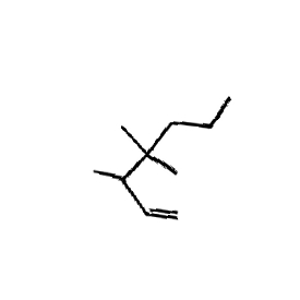 C=CC(C)C(C)(C)CCC